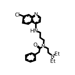 CCN(CC)CCN(CCCNc1ccnc2cc(Cl)ccc12)C(=O)Cc1ccccc1